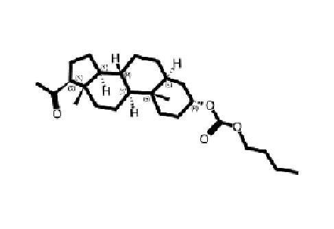 CCCCOC(=O)O[C@@H]1CC[C@@]2(C)[C@@H](CC[C@@H]3[C@@H]2CC[C@]2(C)[C@@H](C(C)=O)CC[C@@H]32)C1